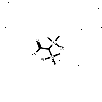 CC[Si](C)(C)C(C(N)=O)[Si](C)(C)CC